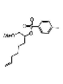 C=CCCCCC(COC)OS(=O)(=O)c1ccc(C)cc1